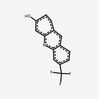 Oc1ccc2cc3ccc(C(F)(F)F)cc3nc2c1